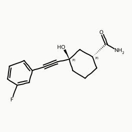 NC(=O)[C@@H]1CCC[C@](O)(C#Cc2cccc(F)c2)C1